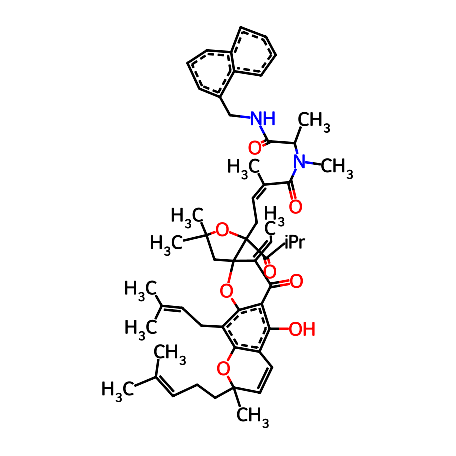 C/C=C1/C(=O)c2c(O)c3c(c(CC=C(C)C)c2OC12CC(C)(C)OC2(C/C=C(/C)C(=O)N(C)C(C)C(=O)NCc1cccc2ccccc12)C(=O)C(C)C)OC(C)(CCC=C(C)C)C=C3